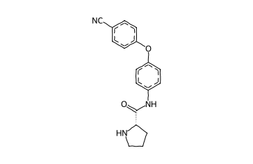 N#Cc1ccc(Oc2ccc(NC(=O)[C@@H]3CCCN3)cc2)cc1